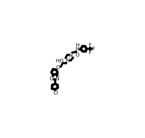 O=C(CN1CCN(CC(O)COc2ccc3oc(-c4ccc(Cl)cc4)nc3c2)CC1)Nc1ccc(C(F)(F)F)cc1